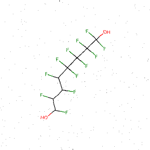 OC(F)C(F)C(F)C(F)C(F)(F)C(F)(F)C(F)(F)C(O)(F)F